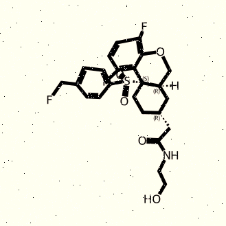 O=C(C[C@@H]1CC[C@@]2(S(=O)(=O)c3ccc(CF)cc3)c3c(F)ccc(F)c3OC[C@H]2C1)NCCO